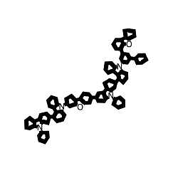 c1ccc(-c2cc(-c3cccc4c3oc3ccccc34)cc(-n3c4ccccc4c4c(-c5ccc6c7cc(-c8ccc9c(c8)oc8cc(-n%10c%11ccccc%11c%11c(-c%12ccc%13c%14ccccc%14n(-c%14ccccc%14)c%13c%12)cccc%11%10)ccc89)ccc7n(-c7ccccc7)c6c5)cccc43)c2)cc1